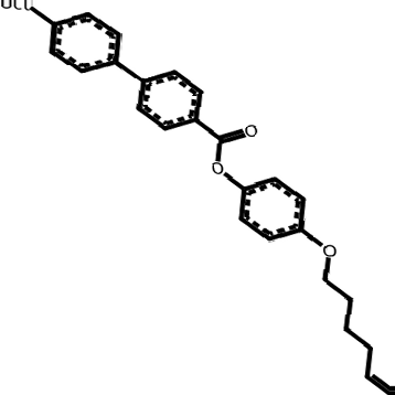 C=CCCCCOc1ccc(OC(=O)c2ccc(-c3ccc(CCCCCCCC)cc3)cc2)cc1